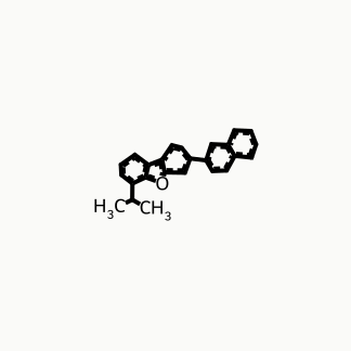 CC(C)c1cccc2c1oc1cc(-c3ccc4ccccc4c3)ccc12